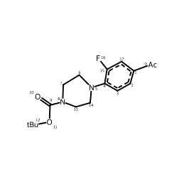 CC(=O)c1ccc(N2CCN(C(=O)OC(C)(C)C)CC2)c(F)c1